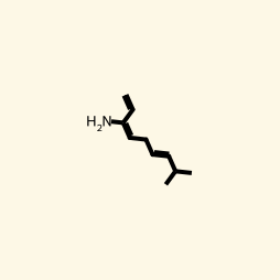 C=C/C(N)=C\CC=CC(C)C